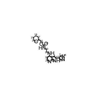 Cn1cc(-c2cc3c(NCCNC(=O)OCC4CCCCO4)ccnc3[nH]2)cn1